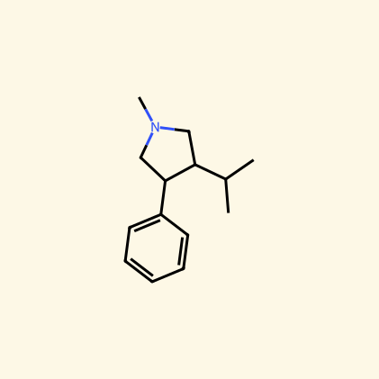 CC(C)C1CN(C)CC1c1ccccc1